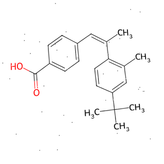 CC(=Cc1ccc(C(=O)O)cc1)c1ccc(C(C)(C)C)cc1C